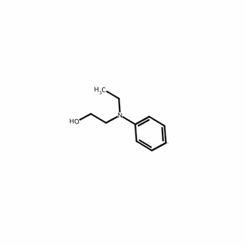 CCN(CCO)c1cc[c]cc1